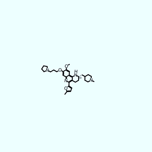 COc1cc2c3c(c(-c4ccc(C)o4)nc2cc1OCCCN1CCCC1)CC[C@@H](CC1CCN(C)CC1)N3